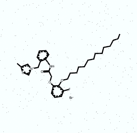 CCCCCCCCCCCCCCOc1c(F)cccc1OCC(=O)Nc1ccccc1C[n+]1csc(C)c1.[Br-]